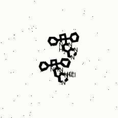 Cl.Cl.NC1(c2ccccc2)CCC1(c1ccccc1)c1ccc2cncnc2n1.NC1(c2ccccc2)CCC1(c1ccccc1)c1ccc2cncnc2n1